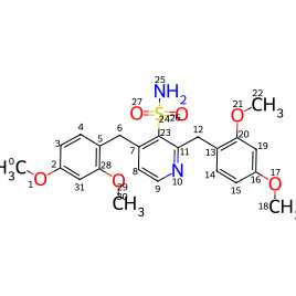 COc1ccc(Cc2ccnc(Cc3ccc(OC)cc3OC)c2S(N)(=O)=O)c(OC)c1